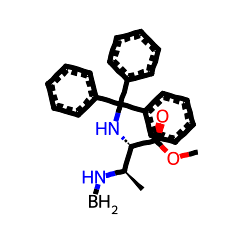 BN[C@H](C)[C@H](NC(c1ccccc1)(c1ccccc1)c1ccccc1)C(=O)OC